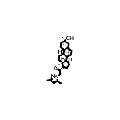 Cc1cc(C)n(CC(=O)[C@H]2CC[C@H]3[C@@H]4CC=C5C[C@](C)(O)CC[C@@H]5[C@H]4CC[C@]23C)n1